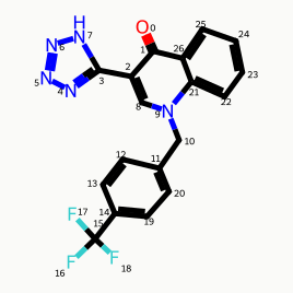 O=c1c(-c2nnn[nH]2)cn(Cc2ccc(C(F)(F)F)cc2)c2ccccc12